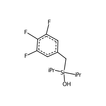 CC(C)[Si](O)(Cc1cc(F)c(F)c(F)c1)C(C)C